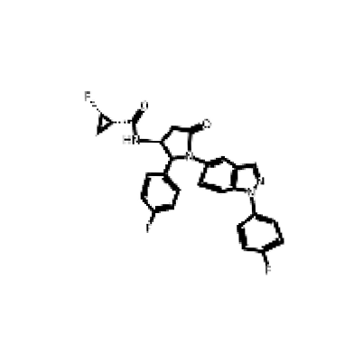 O=C(N[C@H]1CC(=O)N(c2ccc3c(cnn3-c3ccc(F)cc3)c2)C1c1ccc(F)cc1)[C@@H]1C[C@@H]1F